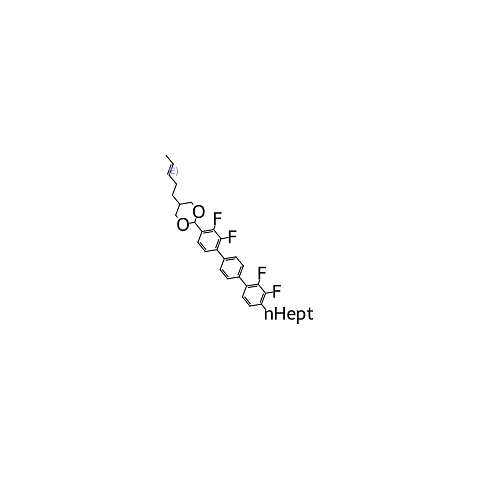 C/C=C/CCC1COC(c2ccc(-c3ccc(-c4ccc(CCCCCCC)c(F)c4F)cc3)c(F)c2F)OC1